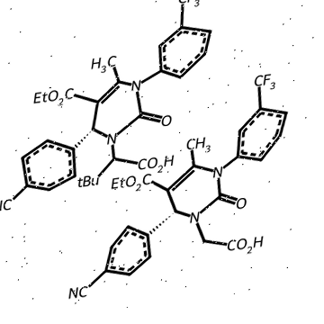 CCOC(=O)C1=C(C)N(c2cccc(C(F)(F)F)c2)C(=O)N(C(C(=O)O)C(C)(C)C)[C@@H]1c1ccc(C#N)cc1.CCOC(=O)C1=C(C)N(c2cccc(C(F)(F)F)c2)C(=O)N(CC(=O)O)[C@@H]1c1ccc(C#N)cc1